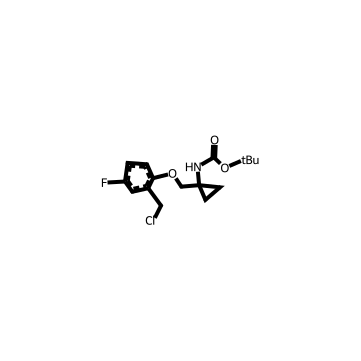 CC(C)(C)OC(=O)NC1(COc2ccc(F)cc2CCl)CC1